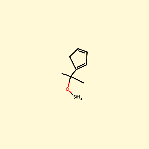 CC(C)(O[SiH3])C1=CC=CC1